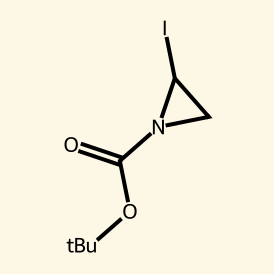 CC(C)(C)OC(=O)N1CC1I